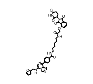 O=C(COc1cccc2c1C(=O)N(C1CCC(=O)NC1=O)C2=O)NCCCCCCNC(=O)c1ccc(-c2ncc(NCc3ccco3)n3cnnc23)cc1